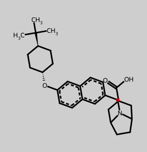 CC(C)(C)[C@H]1CC[C@H](Oc2ccc3cc(CN4C5CCC4CC(C(=O)O)C5)ccc3c2)CC1